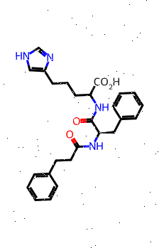 O=C(CCc1ccccc1)N[C@H](Cc1ccccc1)C(=O)NC(CCCc1c[nH]cn1)C(=O)O